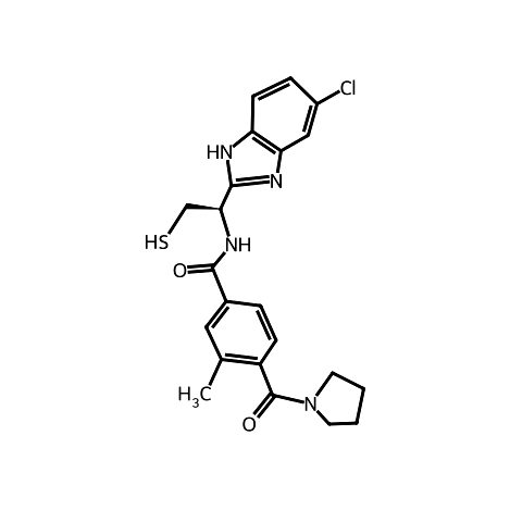 Cc1cc(C(=O)N[C@@H](CS)c2nc3cc(Cl)ccc3[nH]2)ccc1C(=O)N1CCCC1